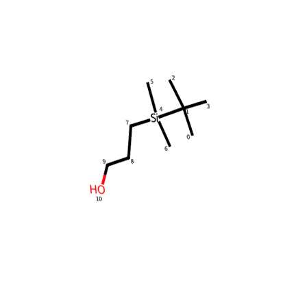 CC(C)(C)[Si](C)(C)CCCO